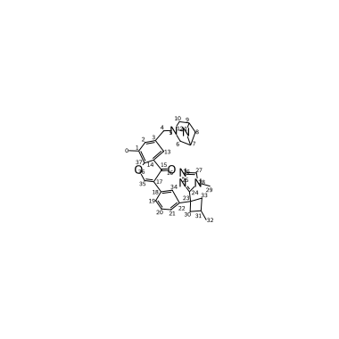 Cc1cc(CN2CC3CC(C2)N3C)cc2c(=O)c(-c3cccc(C4(c5nncn5C)CC(C)C4)c3)coc12